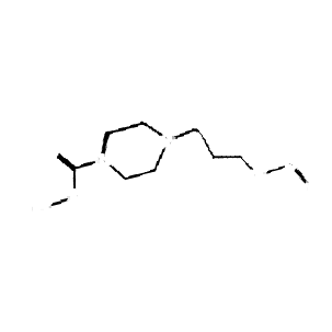 CC(C)(C)OC(=O)N1CCN(CCCOSI)CC1